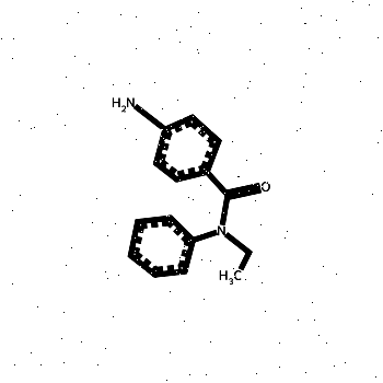 CCN(C(=O)c1ccc(N)cc1)c1ccccc1